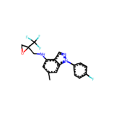 Cc1cc(NCC2(C(F)(F)F)CO2)c2cnn(-c3ccc(F)cc3)c2c1